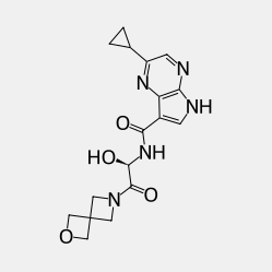 O=C(N[C@H](O)C(=O)N1CC2(COC2)C1)c1c[nH]c2ncc(C3CC3)nc12